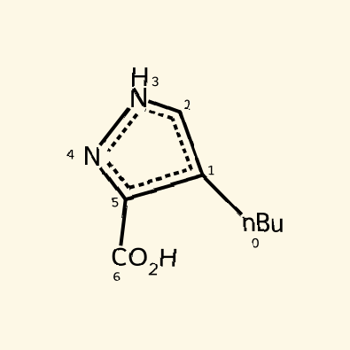 CCCCc1c[nH]nc1C(=O)O